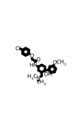 COc1cccc(C2(O)CCC(NC(=O)COc3ccc(Cl)cc3)CC2CN(C)C)c1